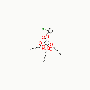 CCCCCCC(=O)Oc1cc(C(=O)OCc2ccccc2Br)cc(OC(=O)CCCCCC)c1OC(=O)CCCCCC